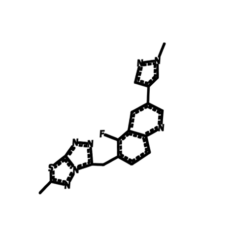 Cc1nn2c(Cc3ccc4ncc(-c5cnn(C)c5)cc4c3F)nnc2s1